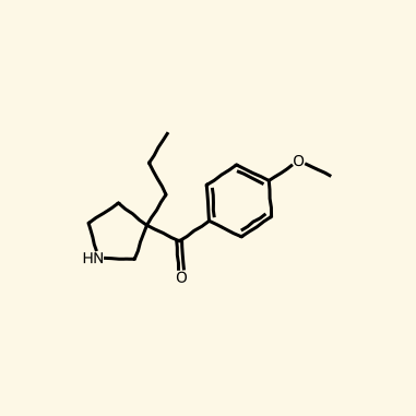 CCCC1(C(=O)c2ccc(OC)cc2)CCNC1